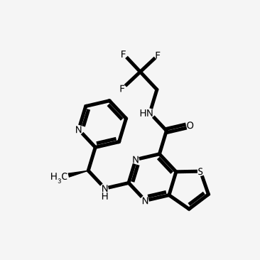 C[C@H](Nc1nc(C(=O)NCC(F)(F)F)c2sccc2n1)c1ccccn1